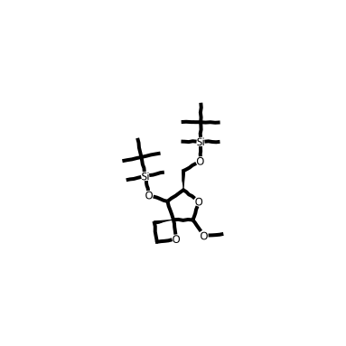 COC1O[C@H](CO[Si](C)(C)C(C)(C)C)C(O[Si](C)(C)C(C)(C)C)[C@]12CCO2